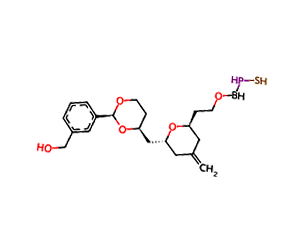 C=C1C[C@H](C[C@@H]2CCO[C@H](c3cccc(CO)c3)O2)O[C@@H](CCOBPS)C1